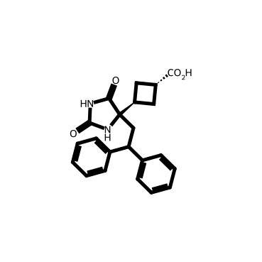 O=C1NC(=O)C(CC(c2ccccc2)c2ccccc2)([C@H]2C[C@H](C(=O)O)C2)N1